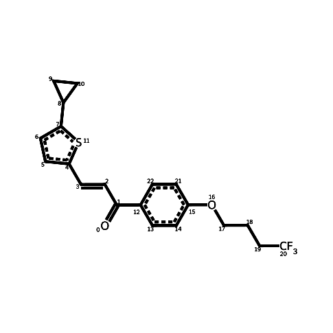 O=C(C=Cc1ccc(C2CC2)s1)c1ccc(OCCCC(F)(F)F)cc1